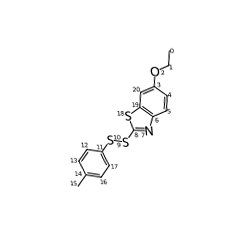 CCOc1ccc2nc(SSc3ccc(C)cc3)sc2c1